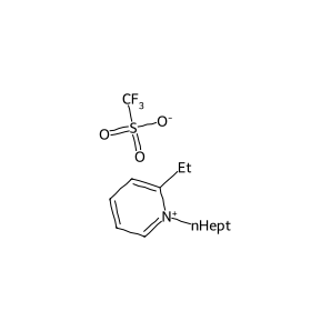 CCCCCCC[n+]1ccccc1CC.O=S(=O)([O-])C(F)(F)F